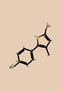 Cc1cc(C(C)C)sc1-c1ccc(C(C)C)cc1